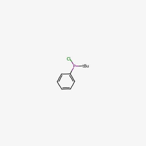 CC(C)(C)P(Cl)c1ccccc1